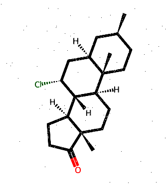 C[C@H]1CC[C@@]2(C)[C@H](C1)C[C@@H](Cl)[C@@H]1[C@@H]2CC[C@]2(C)C(=O)CC[C@@H]12